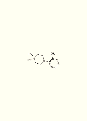 Cc1c[c]ccc1N1CCS(O)(O)CC1